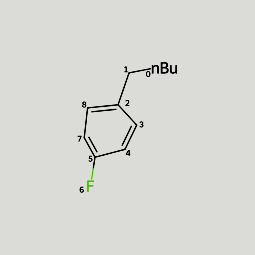 C[CH]CCCc1ccc(F)cc1